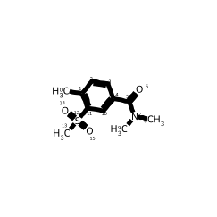 Cc1ccc(C(=O)N(C)C)cc1S(C)(=O)=O